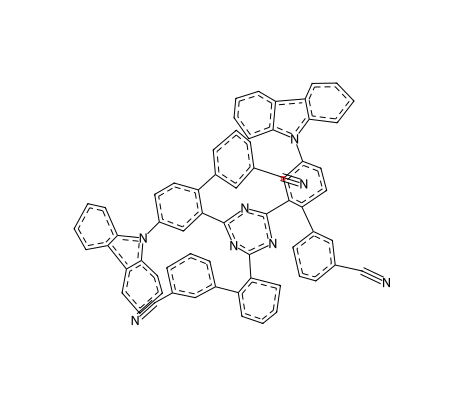 N#Cc1cccc(-c2ccccc2-c2nc(-c3cc(-n4c5ccccc5c5ccccc54)ccc3-c3cccc(C#N)c3)nc(-c3cc(-n4c5ccccc5c5ccccc54)ccc3-c3cccc(C#N)c3)n2)c1